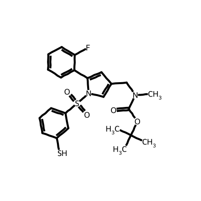 CN(Cc1cc(-c2ccccc2F)n(S(=O)(=O)c2cccc(S)c2)c1)C(=O)OC(C)(C)C